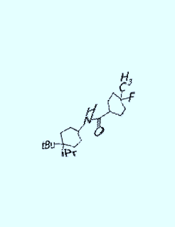 CC(C)C1(C(C)(C)C)CCC(NC(=O)C2CCC(C)(F)CC2)CC1